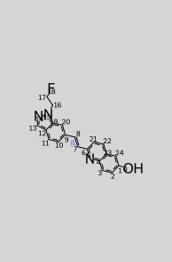 Oc1ccc2nc(/C=C/c3ccc4cnn(CCF)c4c3)ccc2c1